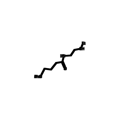 CCNCCNC(=O)CCCOC